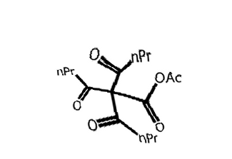 CCCC(=O)C(C(=O)CCC)(C(=O)CCC)C(=O)OC(C)=O